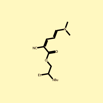 CCCCC(CC)COC(=O)/C(C#N)=C\C=C\N(C)C